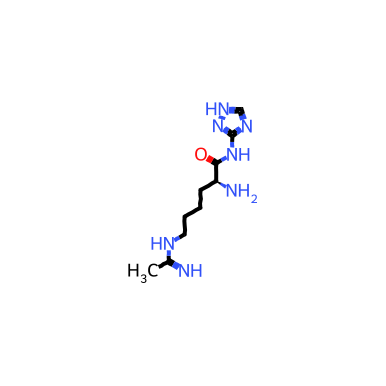 CC(=N)NCCCC[C@H](N)C(=O)Nc1nc[nH]n1